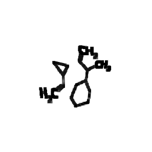 C=CC(C)C1CCCCC1.C=CC1CC1